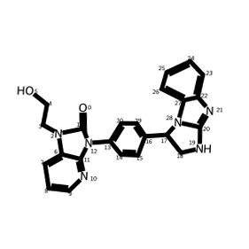 O=c1n(CCO)c2cccnc2n1-c1ccc(C2CNc3nc4ccccc4n32)cc1